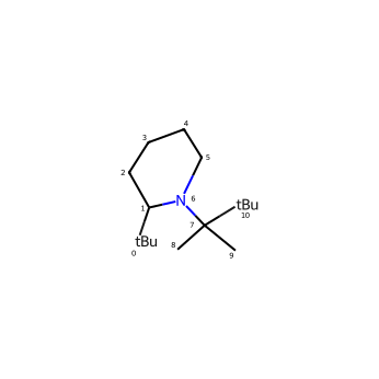 CC(C)(C)C1CCCCN1C(C)(C)C(C)(C)C